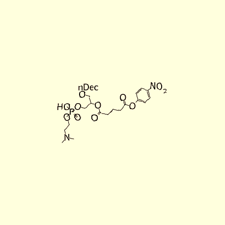 CCCCCCCCCCOCC(COP(=O)(O)OCCN(C)C)OC(=O)CCCC(=O)Oc1ccc([N+](=O)[O-])cc1